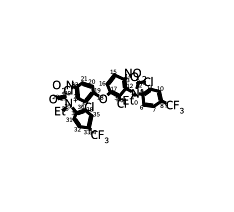 CC[N+](C(=O)Cl)(c1ccc(C(F)(F)F)cc1)c1c([N+](=O)[O-])ccc(Oc2ccc([N+](=O)[O-])c([N+](CC)(C(=O)Cl)c3ccc(C(F)(F)F)cc3)c2Cl)c1Cl